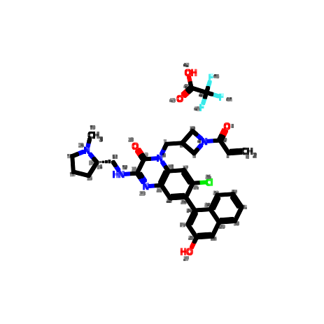 C=CC(=O)N1CC(Cn2c(=O)c(NC[C@@H]3CCCN3C)nc3cc(-c4cc(O)cc5ccccc45)c(Cl)cc32)C1.O=C(O)C(F)(F)F